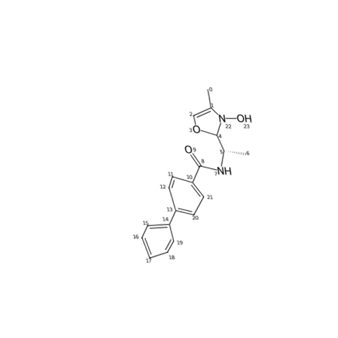 CC1=COC([C@H](C)NC(=O)c2ccc(-c3ccccc3)cc2)N1O